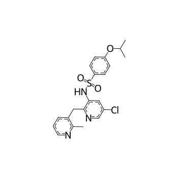 Cc1ncccc1Cc1ncc(Cl)cc1NS(=O)(=O)c1ccc(OC(C)C)cc1